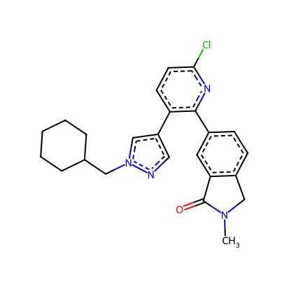 CN1Cc2ccc(-c3nc(Cl)ccc3-c3cnn(CC4CCCCC4)c3)cc2C1=O